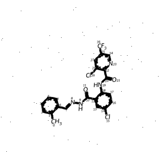 Cc1ccccc1C=NNC(=O)c1cc(Cl)ccc1NC(=O)c1ncc(C(F)(F)F)cc1Cl